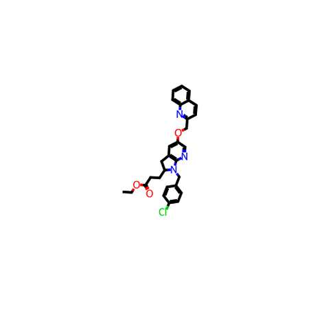 CCOC(=O)CCC1Cc2cc(OCc3ccc4ccccc4n3)cnc2N1Cc1ccc(Cl)cc1